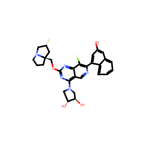 Oc1cc(-c2ncc3c(N4C[C@@H](O)[C@H](O)C4)nc(OC[C@@]45CCCN4C[C@H](F)C5)nc3c2F)c2ccccc2c1